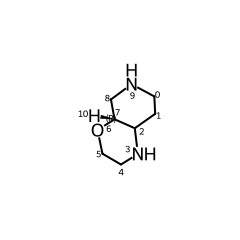 C1CC2NCCO[C@@H]2CN1